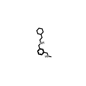 CNCc1cccc(CNCCC2CCCCC2)c1